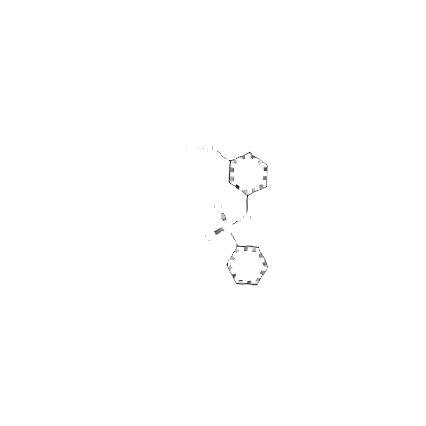 CCCC(C)c1cccc(OS(=O)(=O)c2ccccc2)c1